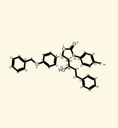 O=C1O[C@@H](c2ccc(OCc3ccccc3)cc2)[C@@H]([C@H](O)CCc2ccccc2)N1c1ccc(F)cc1